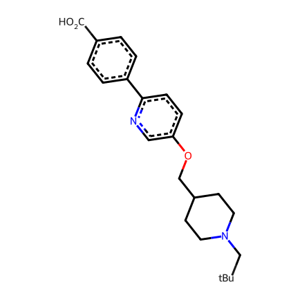 CC(C)(C)CN1CCC(COc2ccc(-c3ccc(C(=O)O)cc3)nc2)CC1